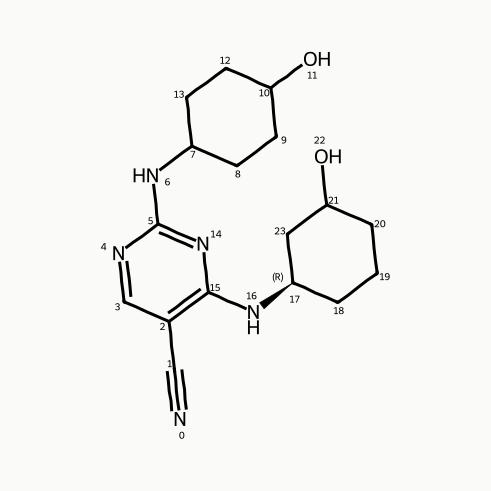 N#Cc1cnc(NC2CCC(O)CC2)nc1N[C@@H]1CCCC(O)C1